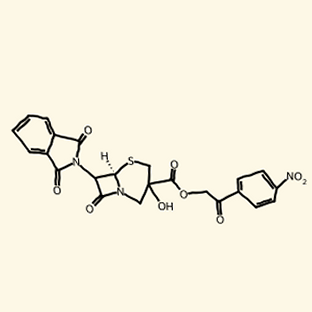 O=C(COC(=O)C1(O)CS[C@@H]2C(N3C(=O)c4ccccc4C3=O)C(=O)N2C1)c1ccc([N+](=O)[O-])cc1